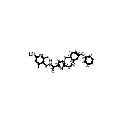 Cc1cc(N)nc(C)c1CNC(=O)c1cn2c(n1)CNc1cc(Oc3ccccc3)ccc1C2